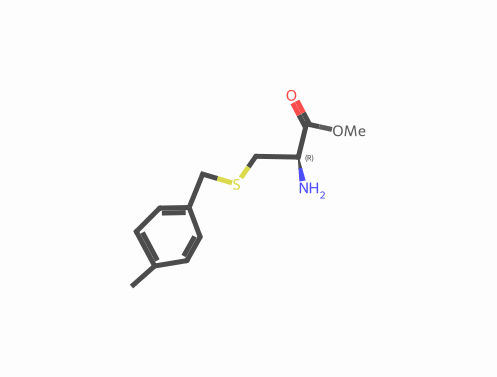 COC(=O)[C@@H](N)CSCc1ccc(C)cc1